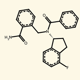 NC(=O)c1ccccc1CN(C(=O)c1ccccc1)[C@@H]1CCc2c(F)cccc21